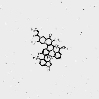 C=CC(=O)N1CC2C(=O)N(C)c3c(c4cc(F)c(-c5c(C)ccc6[nH]cnc56)c(F)c4n(-c4c(C)ccnc4C(C)C)c3=O)N2CC1C